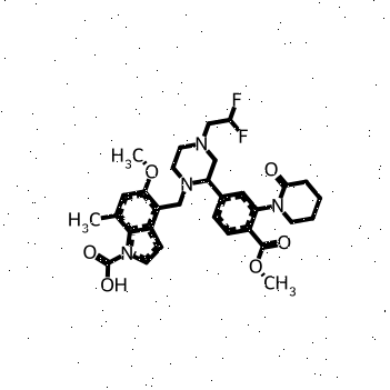 COC(=O)c1ccc(C2CN(CC(F)F)CCN2Cc2c(OC)cc(C)c3c2ccn3C(=O)O)cc1N1CCCCC1=O